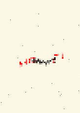 O=C(O)CCCCCCCCC=CCCO